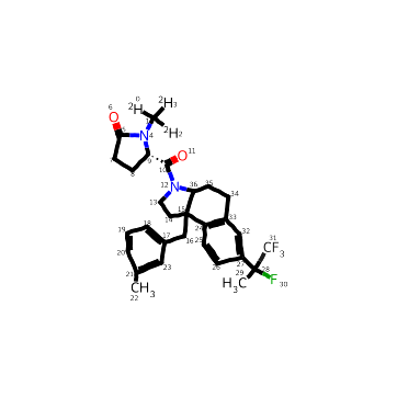 [2H]C([2H])([2H])N1C(=O)CC[C@H]1C(=O)N1CCC2(Cc3cccc(C)c3)c3ccc(C(C)(F)C(F)(F)F)cc3CCC12